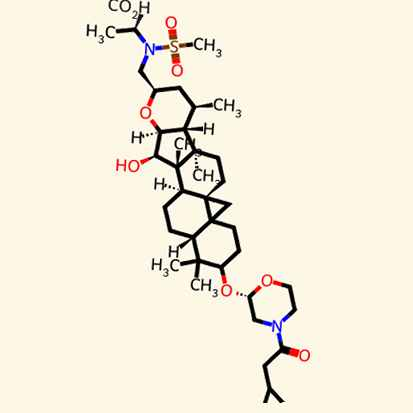 C[C@@H]1C[C@H](CN([C@@H](C)C(=O)O)S(C)(=O)=O)O[C@H]2[C@H]1[C@@]1(C)CC[C@@]34CC35CCC(O[C@H]3CN(C(=O)CC6CC6)CCO3)C(C)(C)[C@@H]5CC[C@H]4[C@]1(C)[C@H]2O